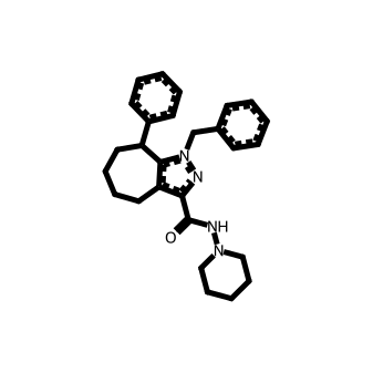 O=C(NN1CCCCC1)c1nn(Cc2ccccc2)c2c1CCCCC2c1ccccc1